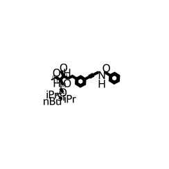 CCCC[Si](OC[C@H]1OC(Cc2cccc(C#CCNC(=O)c3ccccc3)c2)[C@H]2C(=O)O[C@H](C)[C@H]21)(C(C)C)C(C)C